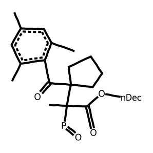 CCCCCCCCCCOC(=O)C(C)(P=O)C1(C(=O)c2c(C)cc(C)cc2C)CCCC1